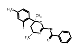 Cc1ccc([C@]2(C)C[C@@H](C(F)(F)F)N=C(NC(=O)c3ccccc3)O2)c(F)c1